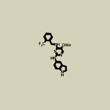 COc1cnc(Nc2ccc3c(c2)CCN3)nc1NCc1ccccc1C(F)(F)F